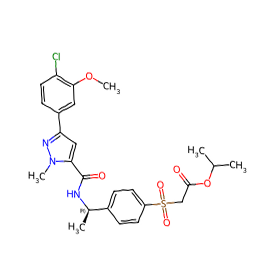 COc1cc(-c2cc(C(=O)N[C@H](C)c3ccc(S(=O)(=O)CC(=O)OC(C)C)cc3)n(C)n2)ccc1Cl